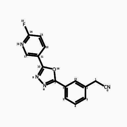 N#CCc1cccc(-c2nnc(-c3ccc(F)nc3)o2)c1